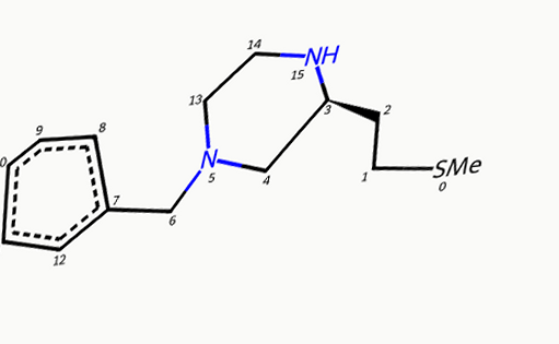 CSCC[C@H]1CN(Cc2ccccc2)CCN1